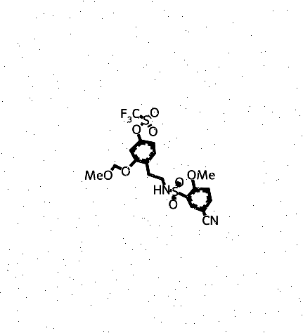 COCOc1cc(OS(=O)(=O)C(F)(F)F)ccc1CCNS(=O)(=O)c1cc(C#N)ccc1OC